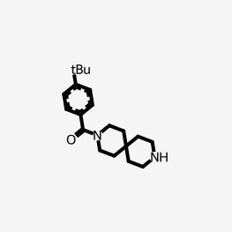 CC(C)(C)c1ccc(C(=O)N2CCC3(CCNCC3)CC2)cc1